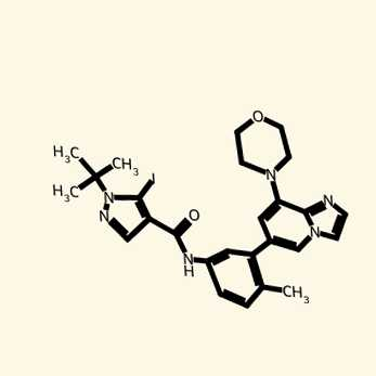 Cc1ccc(NC(=O)c2cnn(C(C)(C)C)c2I)cc1-c1cc(N2CCOCC2)c2nccn2c1